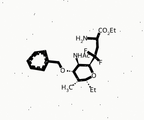 CCOC(=O)C(N)CC(F)(F)[C@H]1O[C@H](CC)[C@H](C)[C@H](OCc2ccccc2)[C@H]1NC(C)=O